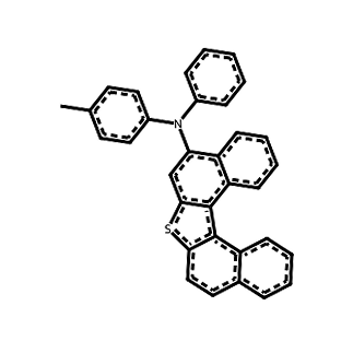 Cc1ccc(N(c2ccccc2)c2cc3sc4ccc5ccccc5c4c3c3ccccc23)cc1